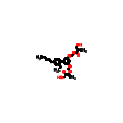 C=C(CO)C(=O)OCOc1cc(OCOC(=C)C(=O)CO)cc(-c2ccc(CCCCC)cc2CC)c1